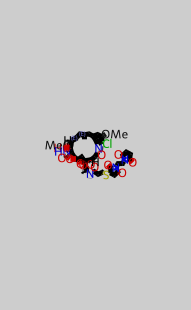 COc1cc2cc(c1Cl)N(C)C(=O)C[C@H](OC(=O)[C@H](C)N(C)C(=O)CCSC1CC(=O)N(CCN3C(=O)C=CC3=O)C1=O)[C@@]1(C)CC(C)(O1)C1C[C@@](O)(NC(=O)O1)[C@H](OC)/C=C/C=C(\C)C2